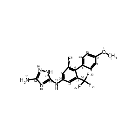 COc1ccc(-c2c(F)cc(Nc3nc(N)n[nH]3)cc2C(F)(F)F)cc1